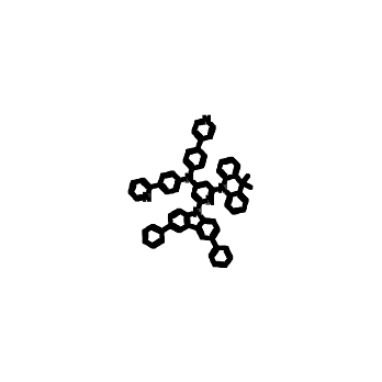 CC1(C)c2ccccc2N(c2cc(N(c3ccc(-c4ccncc4)cc3)c3ccc(-c4ccccn4)cc3)cc(-n3c4ccc(-c5ccccc5)cc4c4cc(-c5ccccc5)ccc43)n2)c2ccccc21